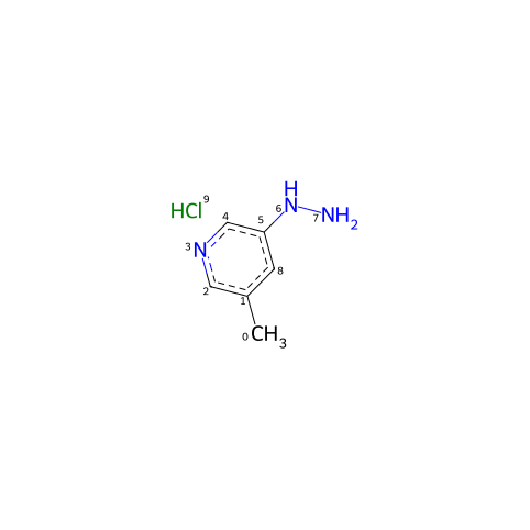 Cc1cncc(NN)c1.Cl